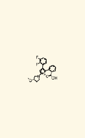 COC1CCN(c2cc(-c3cccc(F)c3F)c(-c3ccccc3C(=O)O)s2)C1